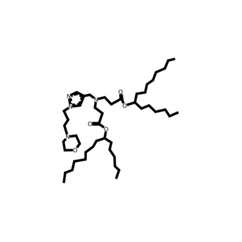 CCCCCCCCC(CCCCCC)OC(=O)CCN(CCC(=O)OC(CCCCCC)CCCCCCCC)Cc1cnn(CCCN2CCOCC2)c1